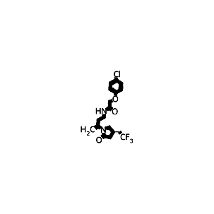 C=C(CCNC(=O)COc1ccc(Cl)cc1)N1C[C@H](CC(F)(F)F)CC1=O